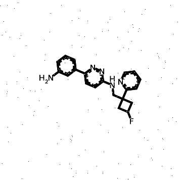 Nc1cccc(-c2ccc(NCC3(c4ccccn4)CC(F)C3)nn2)c1